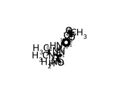 CCC(C)Nc1nc(Nc2cccc(OS(C)(=O)=O)c2)ncc1C(N)=O